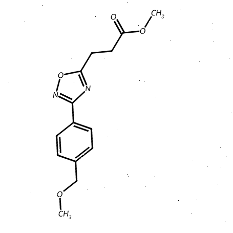 COCc1ccc(-c2noc(CCC(=O)OC)n2)cc1